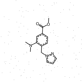 COC(=O)c1ccc(Cn2cccn2)c(N(C)C)c1